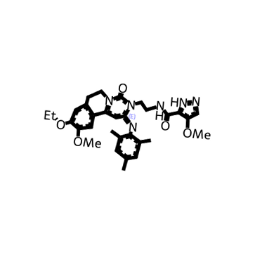 CCOc1cc2c(cc1OC)-c1c/c(=N\c3c(C)cc(C)cc3C)n(CCNC(=O)c3[nH]ncc3OC)c(=O)n1CC2